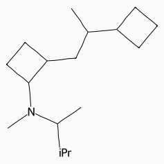 CC(C)C(C)N(C)C1CCC1CC(C)C1CCC1